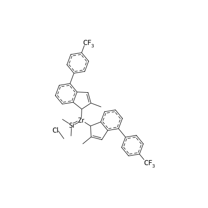 CC1=Cc2c(-c3ccc(C(F)(F)F)cc3)cccc2[CH]1[Zr]([CH]1C(C)=Cc2c(-c3ccc(C(F)(F)F)cc3)cccc21)=[Si](C)C.CCl